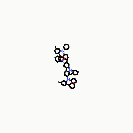 Cc1ccc(-c2ccccc2)c(N(c2ccccc2)c2ccc3c4cc5c(cc4n4c6ccccc6c2c34)c2ccc(N(c3ccccc3)c3cc(C)ccc3-c3ccccc3)c3c4ccccc4n5c23)c1